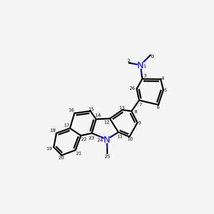 CN(C)c1cccc(-c2ccc3c(c2)c2ccc4ccccc4c2n3C)c1